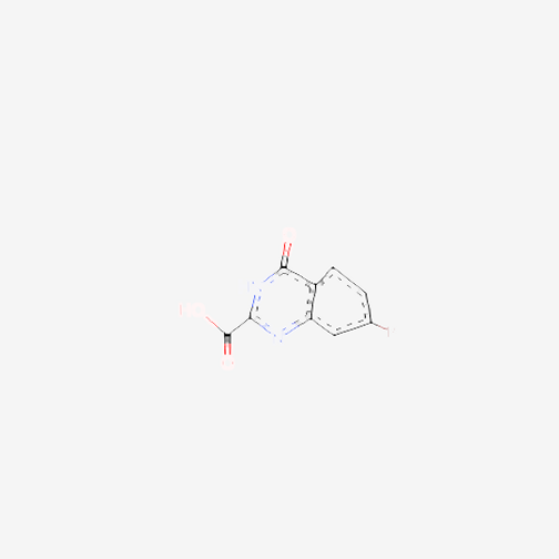 O=C(O)c1nc2cc(Br)ccc2c(=O)[nH]1